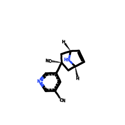 N#Cc1cncc([C@@]2(C#N)C[C@H]3C=C[C@@H](C2)N3)c1